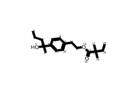 CCCC(C)(O)c1ccc(CCOC(=O)C(C)(C)CC)cc1